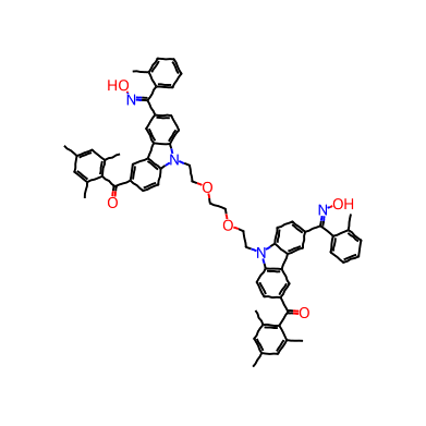 Cc1cc(C)c(C(=O)c2ccc3c(c2)c2cc(C(=NO)c4ccccc4C)ccc2n3CCOCCOCCn2c3ccc(C(=O)c4c(C)cc(C)cc4C)cc3c3cc(C(=NO)c4ccccc4C)ccc32)c(C)c1